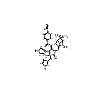 CC1C(CN2C(=O)C(Cc3c[nH]cn3)(Cc3c[nH]cn3)N/C2=C\C(=O)c2ccc(C#N)cc2)CC2CC1C2(C)C